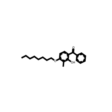 CCCCCCCCOc1ccc(C(=O)c2ccccc2)c(O)c1C